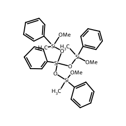 CO[Si](C)(O[Si](O[Si](C)(OC)c1ccccc1)(O[Si](C)(OC)c1ccccc1)c1ccccc1)c1ccccc1